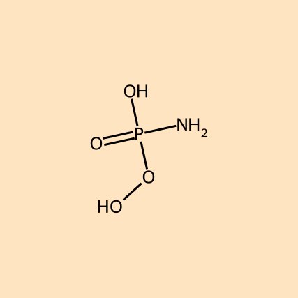 NP(=O)(O)OO